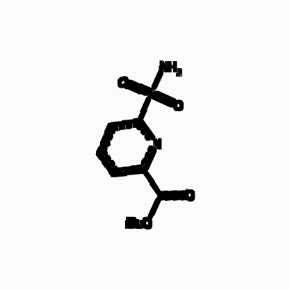 CC(C)COC(=O)c1cccc(S(N)(=O)=O)n1